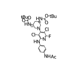 CC(=O)Nc1ccc(Nc2nc(F)c(Cl)c(N3C[C@H](NC(=O)OC(C)(C)C)C[C@H](NC(=O)OC(C)(C)C)C3)c2Cl)cc1